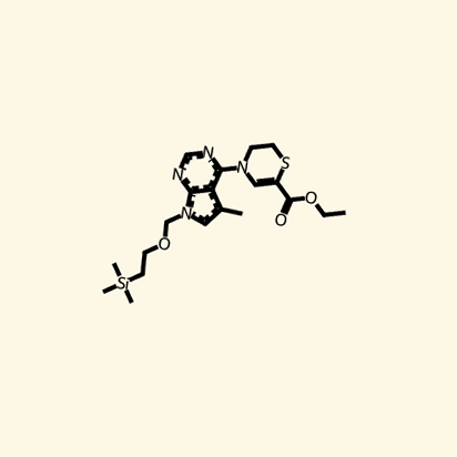 CCOC(=O)C1=CN(c2ncnc3c2c(C)cn3COCC[Si](C)(C)C)CCS1